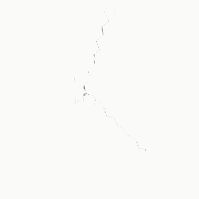 CCCCCCCCCOC[C@@H](O)[C@H](CO)OCCCCCCCCC